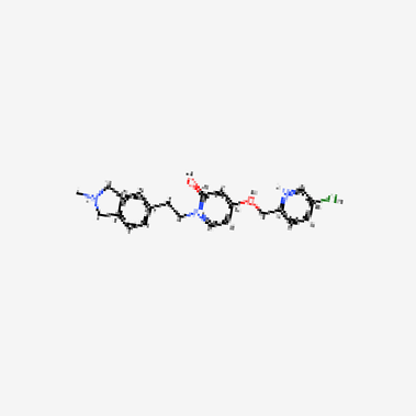 CN1Cc2ccc(CCn3ccc(OCc4ccc(Cl)cn4)cc3=O)cc2C1